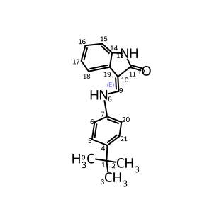 CC(C)(C)c1ccc(N/C=C2/C(=O)Nc3ccccc32)cc1